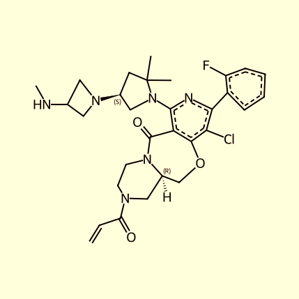 C=CC(=O)N1CCN2C(=O)c3c(N4C[C@@H](N5CC(NC)C5)CC4(C)C)nc(-c4ccccc4F)c(Cl)c3OC[C@H]2C1